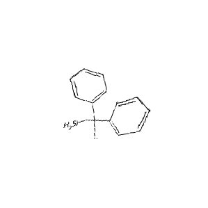 [CH2]C([SiH3])(c1ccccc1)c1ccccc1